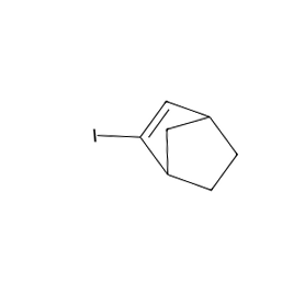 IC1=CC2CCC1C2